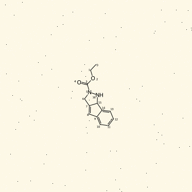 CCOC(=O)N1CC2=Cc3ccccc3C2N1